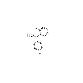 Cc1ccccc1C(O)c1ccc(F)cc1